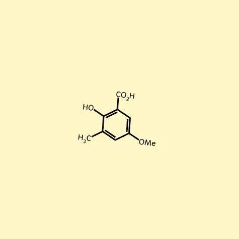 COc1cc(C)c(O)c(C(=O)O)c1